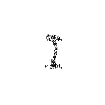 CC[C@@H]1C(=O)N(C)c2cnc(Nc3cccc(OCCOCCOCCOC4CCN(c5ncc(C(=O)NC6C(C)(C)C(Oc7ccc(C#N)c(Cl)c7)C6(C)C)cn5)CC4)c3)nc2N1C1CCCC1